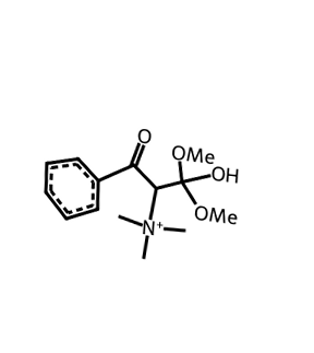 COC(O)(OC)C(C(=O)c1ccccc1)[N+](C)(C)C